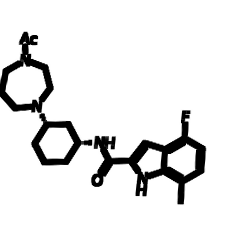 CC(=O)N1CCCN([C@H]2CCC[C@@H](NC(=O)c3cc4c(F)ccc(C)c4[nH]3)C2)CC1